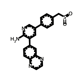 Nc1ncc(-c2ccc(C[SH](=O)=O)cc2)cc1-c1ccc2nccnc2c1